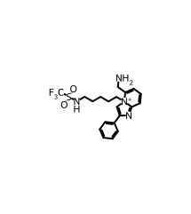 NCC1=CC=CC2=NC(c3ccccc3)=C[N+]12CCCCCNS(=O)(=O)C(F)(F)F